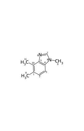 Cc1ccc2c(ncn2C)c1C